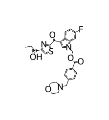 CC[C@@H](O)c1csc(C(=O)c2cn(COC(=O)c3ccc(CN4CCOCC4)cc3)c3cc(F)ccc23)n1